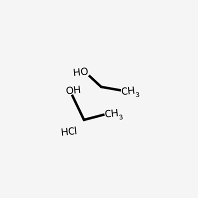 CCO.CCO.Cl